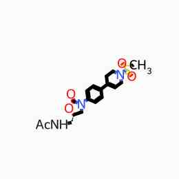 CC(=O)NC[C@H]1CN(c2ccc(C3=CCN(S(C)(=O)=O)CC3)cc2)C(=O)O1